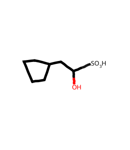 O=S(=O)(O)C(O)CC1CCCC1